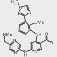 CCC(=O)c1cnc(Nc2cnc(CNC)cn2)cc1Nc1cccc(-c2ncn(C)n2)c1OC